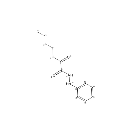 CCCCOC(=O)C(=O)NNc1ccccc1